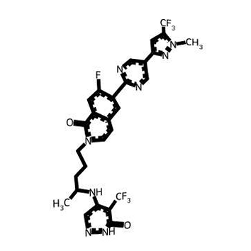 CC(CCCn1ccc2cc(-c3ncc(-c4cc(C(F)(F)F)n(C)n4)cn3)c(F)cc2c1=O)Nc1cn[nH]c(=O)c1C(F)(F)F